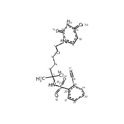 CC(C)(CCCOCn1ccc(=O)[nH]c1=O)NS(=O)(=O)c1ccccc1C#N